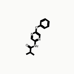 CC(C)C(=O)Nc1cnc(Oc2ccccc2)cn1